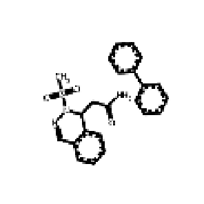 CS(=O)(=O)N1N=Cc2ccccc2C1CC(N)=O.c1ccc(-c2ccccc2)cc1